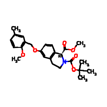 COC(=O)[C@H]1c2ccc(OCc3cc(C)ccc3OC)cc2CCN1C(=O)OC(C)(C)C